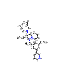 COc1cc(-c2cccnc2)cc(C)c1-c1cccc2c(N(CC3CC3)CC3CC3)c(SC)nn12